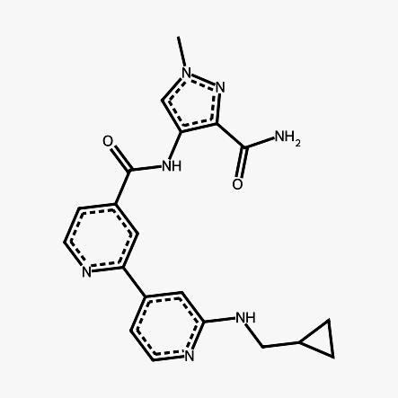 Cn1cc(NC(=O)c2ccnc(-c3ccnc(NCC4CC4)c3)c2)c(C(N)=O)n1